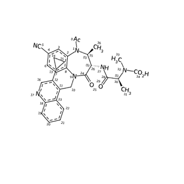 CC(=O)N1c2cc(C#N)ccc2N(Cc2c(C3CC3)cnc3ccccc23)C(=O)[C@@H](NC(=O)[C@H](C)N(C)C(=O)O)[C@@H]1C